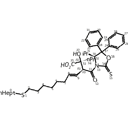 CCCCCCCSCCCCCCC=C[C@H](C(=O)N1C(=S)OC(c2ccccc2)(c2ccccc2)[C@@H]1C(C)C)[C@@](O)(CCC)C(=O)O